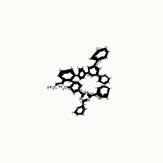 CCCc1cccc(-c2ccc(-c3cc(C4=CC=CCC4)cc(-c4ccccc4)c3)cc2)c1-c1ccc(-c2nc(-c3ccccc3)nc(-c3ccccc3)n2)cc1C